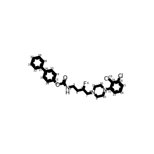 O=C(NCCC(F)CN1CCN(c2cccc(Cl)c2Cl)CC1)Oc1ccc(-c2ccccc2)cc1